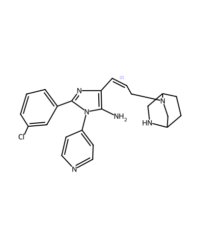 Nc1c(/C=C\CN2CC3CCC2CN3)nc(-c2cccc(Cl)c2)n1-c1ccncc1